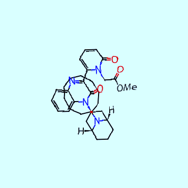 COC(=O)Cn1c(-c2nc3ccccc3n([C@@H]3C[C@H]4CCC[C@@H](C3)N4C3CCCCCCCCC3)c2=O)cccc1=O